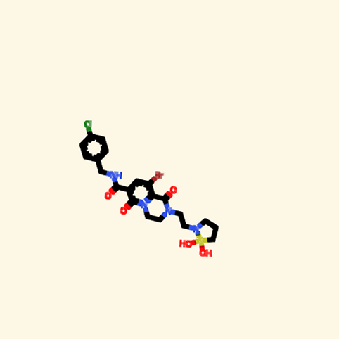 O=C(NCc1ccc(Cl)cc1)c1cc(Br)c2n(c1=O)CCN(CCN1CCCS1(O)O)C2=O